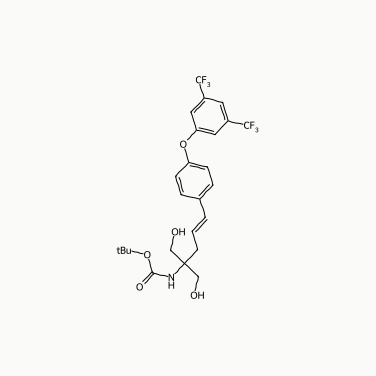 CC(C)(C)OC(=O)NC(CO)(CO)CC=Cc1ccc(Oc2cc(C(F)(F)F)cc(C(F)(F)F)c2)cc1